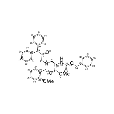 COC(=O)[C@@H](CN(CC(=O)C(c1ccccc1)c1ccccc1)Cc1ccccc1OC)NC(=O)OCc1ccccc1